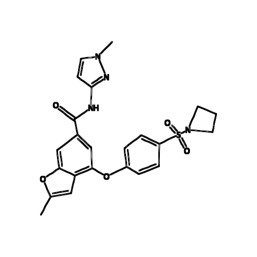 Cc1cc2c(Oc3ccc(S(=O)(=O)N4CCC4)cc3)cc(C(=O)Nc3ccn(C)n3)cc2o1